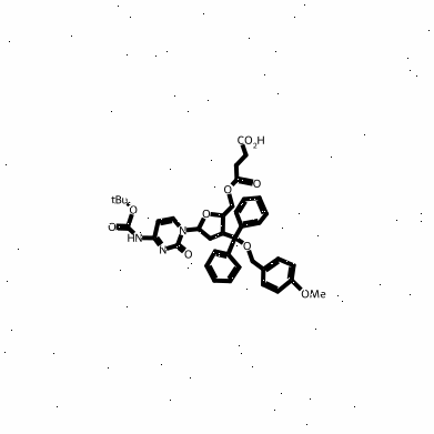 COc1ccc(COC(c2ccccc2)(c2ccccc2)C2CC(n3ccc(NC(=O)OC(C)(C)C)nc3=O)OC2COC(=O)CCC(=O)O)cc1